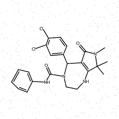 CN1C(=O)C2=C(NCCN(C(=O)Nc3ccccc3)C2c2ccc(Cl)c(Cl)c2)C1(C)C